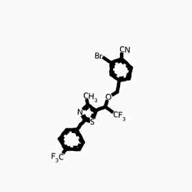 Cc1nc(-c2ccc(C(F)(F)F)cc2)sc1C(OCc1ccc(C#N)c(Br)c1)C(F)(F)F